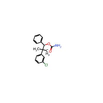 CC(C)(c1cccc(Cl)c1)[C@H](OC(N)=O)c1ccccc1